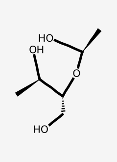 C[C@H](O)O[C@H](CO)[C@@H](C)O